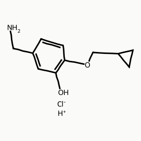 NCc1ccc(OCC2CC2)c(O)c1.[Cl-].[H+]